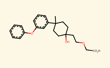 CC1(c2cccc(Oc3ccccc3)c2)CCC(O)(CCOCC(=O)O)CC1